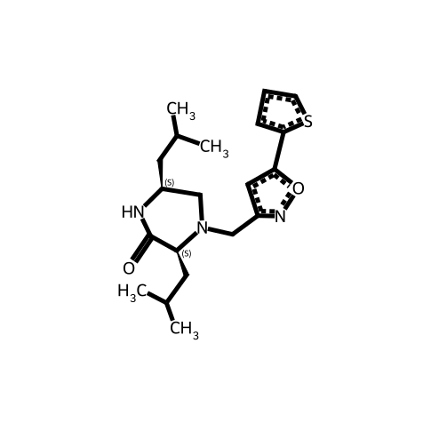 CC(C)C[C@H]1CN(Cc2cc(-c3cccs3)on2)[C@@H](CC(C)C)C(=O)N1